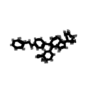 O=C1CN(c2c(-c3ccc(OCc4ccccc4)cc3)cnc3c(-c4nnn[nH]4)cnn23)CCN1